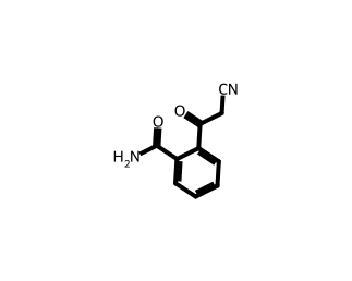 N#CCC(=O)c1ccccc1C(N)=O